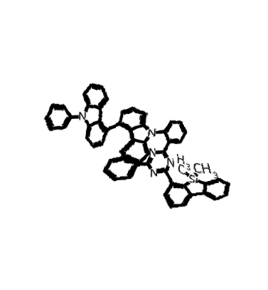 C[Si]1(C)c2ccccc2-c2cccc(-c3nc(-c4ccccc4)nc(-c4ccccc4-n4c5ccccc5c5c(-c6cccc7c6c6ccccc6n7-c6ccccc6)cccc54)n3)c21